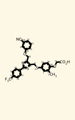 Cc1cc(SCc2sc(-c3ccc(C(F)(F)F)cc3)nc2COc2cccc(C#N)c2)ccc1OCC(=O)O